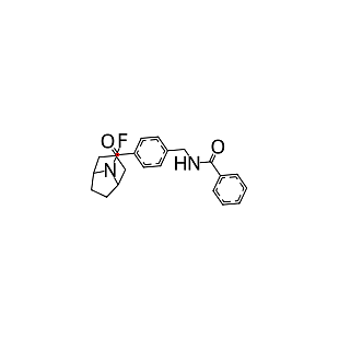 O=C(NCc1ccc(C(=O)N2C3CCC2CC(F)C3)cc1)c1ccccc1